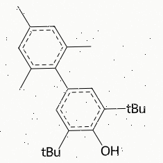 Cc1cc(C)c(-c2cc(C(C)(C)C)c(O)c(C(C)(C)C)c2)c(C)c1